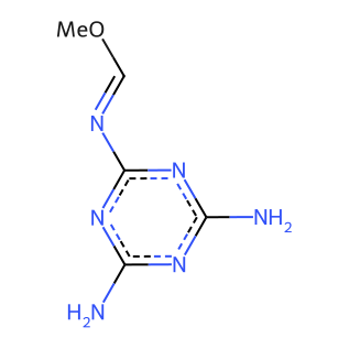 COC=Nc1nc(N)nc(N)n1